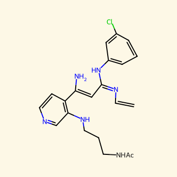 C=C/N=C(\C=C(/N)c1ccncc1NCCCNC(C)=O)Nc1cccc(Cl)c1